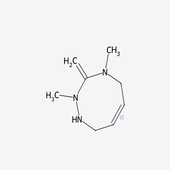 C=C1N(C)C/C=C\CNN1C